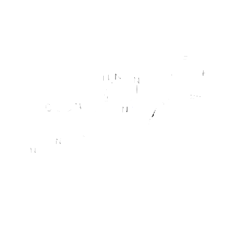 C=C(/N=C1/[C@H](F)[C@@H](c2ccccc2C(F)(F)F)CCN1N)c1ccc(-n2cnc(C)c2)c(OC)n1